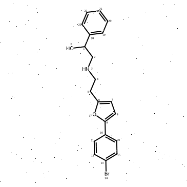 OC(CNCCc1ccc(-c2ccc(Br)cc2)o1)c1ccccc1